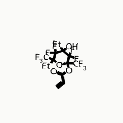 C=CC(=O)OC1(C(F)(F)F)OC(CC)(C(F)(F)F)C(F)(F)C(O)(CC)C1(F)F